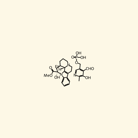 CC[C@]12CCCN3CCc4c(n(c5ccccc45)[C@@](O)(C(=O)OC)C1)[C@@H]32.Cc1ncc(COP(=O)(O)O)c(C=O)c1O